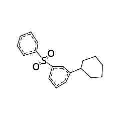 O=S(=O)(c1ccccc1)c1cccc(C2CCCCC2)c1